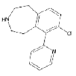 Clc1ccc2c(c1-c1ccccn1)CCNCC2